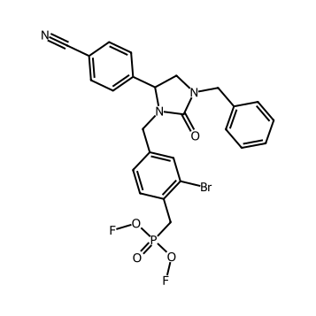 N#Cc1ccc(C2CN(Cc3ccccc3)C(=O)N2Cc2ccc(CP(=O)(OF)OF)c(Br)c2)cc1